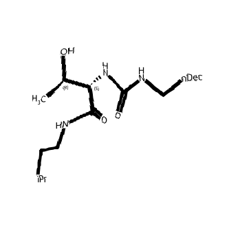 CCCCCCCCCCCNC(=O)N[C@H](C(=O)NCCC(C)C)[C@@H](C)O